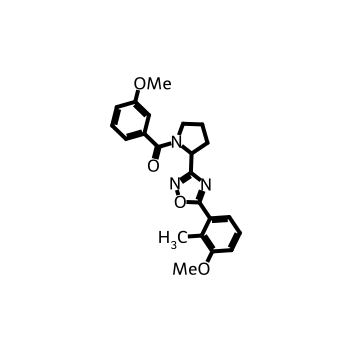 COc1cccc(C(=O)N2CCCC2c2noc(-c3cccc(OC)c3C)n2)c1